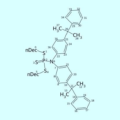 CCCCCCCCCCSP(=S)(SCCCCCCCCCC)N(c1ccc(C(C)(C)c2ccccc2)cc1)c1ccc(C(C)(C)c2ccccc2)cc1